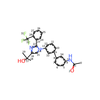 CC(=O)Nc1cccc(-c2cccc(-n3cc(C(C)(C)O)nc3-c3ccccc3C(F)(F)F)c2)c1